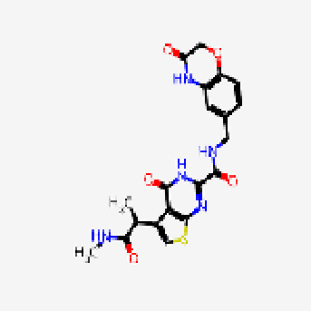 CNC(=O)C(C)c1csc2nc(C(=O)NCc3ccc4c(c3)NC(=O)CO4)[nH]c(=O)c12